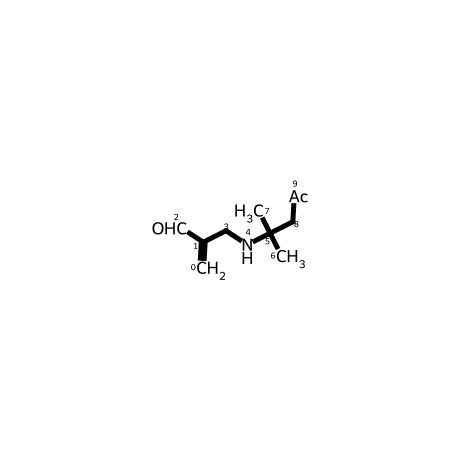 C=C(C=O)CNC(C)(C)CC(C)=O